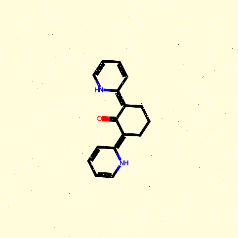 O=C1C(=C2C=CC=CN2)CCCC1=C1C=CC=CN1